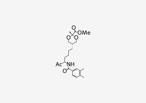 COC(=O)[C@]1(C)OC[C@H](CCCCC(NC(=O)c2ccc(C)c(C)c2)C(C)=O)CO1